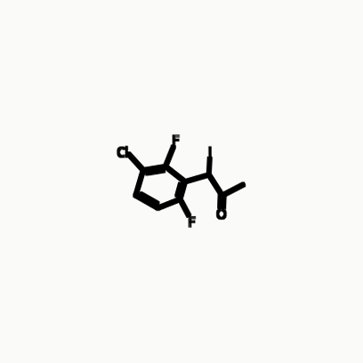 CC(=O)C(I)c1c(F)ccc(Cl)c1F